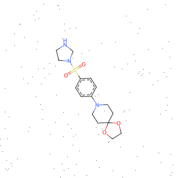 O=S(=O)(c1ccc(N2CCC3(CC2)OCCO3)cc1)N1CCNC1